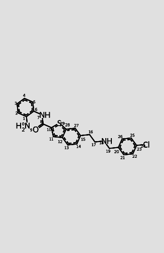 Nc1ccccc1NC(=O)c1cc2ccc(CCNCc3ccc(Cl)cc3)cc2s1